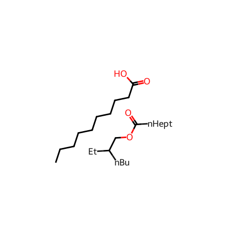 CCCCCCCC(=O)OCC(CC)CCCC.CCCCCCCCCC(=O)O